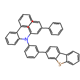 c1ccc(-c2cccc(N(c3cccc(-c4ccc5c(c4)sc4ccccc45)c3)c3ccccc3-c3ccccc3)c2)cc1